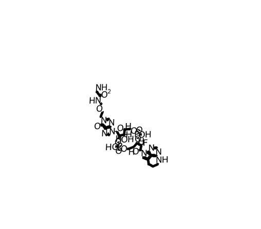 NCC(=O)NCOCCn1cnc2c(ncn2[C@@H]2O[C@@H]3COP(=O)(O)O[C@H]4[C@@H](F)[C@H](n5cc6c7c(ncnc75)NCCC6)O[C@@H]4COP(=O)(O)O[C@@H]2[C@@H]3O)c1=O